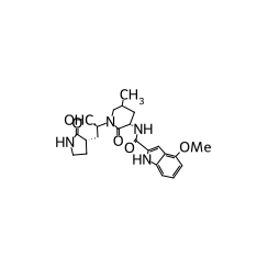 COc1cccc2[nH]c(C(=O)N[C@H]3CC(C)CN([C@H](C=O)C[C@@H]4CCNC4=O)C3=O)cc12